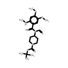 CNc1cc(OC)c(OC)cc1C(=N)N(C=S)C1CCN(C(=O)OC(C)(C)C)CC1